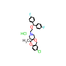 CC1Oc2ccc(Cl)cc2COC12CCN(CCOC(c1ccc(F)cc1)c1ccc(F)cc1)CC2.Cl